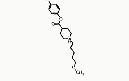 COCCCCC[SiH]1CCC(C(=O)Oc2ccc(F)cc2)CC1